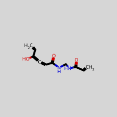 C=CC(=O)NCNC(=O)C=C=C(O)C=C